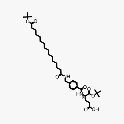 CC(C)(C)OC(=O)CCCCCCCCCCCCCCC(=O)NCc1ccc(C(=O)N[C@H](CCC(=O)O)C(=O)OC(C)(C)C)cc1